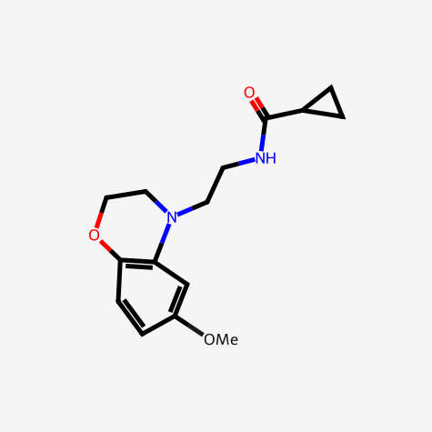 COc1ccc2c(c1)N(CCNC(=O)C1CC1)CCO2